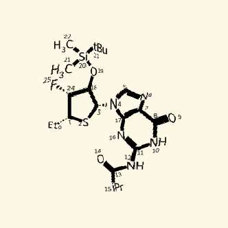 CC[C@H]1S[C@@H](n2cnc3c(=O)[nH]c(NC(=O)C(C)C)nc32)C(O[Si](C)(C)C(C)(C)C)[C@H]1F